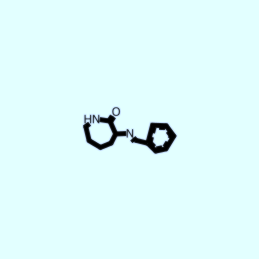 O=C1NCCCCC1N=Cc1ccccc1